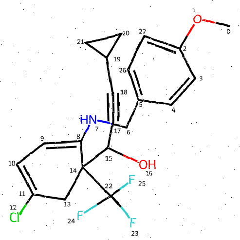 COc1ccc(CNC2=CC=C(Cl)CC2(C(O)C#CC2CC2)C(F)(F)F)cc1